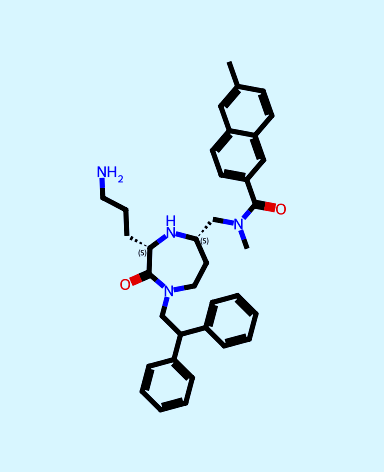 Cc1ccc2cc(C(=O)N(C)C[C@@H]3CCN(CC(c4ccccc4)c4ccccc4)C(=O)[C@H](CCCN)N3)ccc2c1